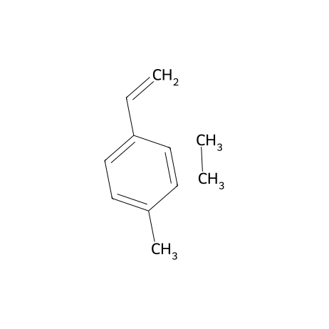 C=Cc1ccc(C)cc1.CC